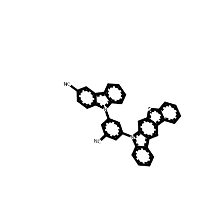 N#Cc1cc(-n2c3ccccc3c3cc(C#N)ccc32)cc(-n2c3ccccc3c3cc4c(cc32)sc2ccccc24)c1